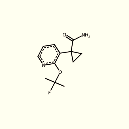 CC(C)(F)Oc1ncccc1C1(C(N)=O)CC1